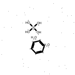 O.O.O[Si](O)(O)O.c1ccccc1